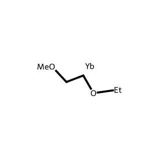 CCOCCOC.[Yb]